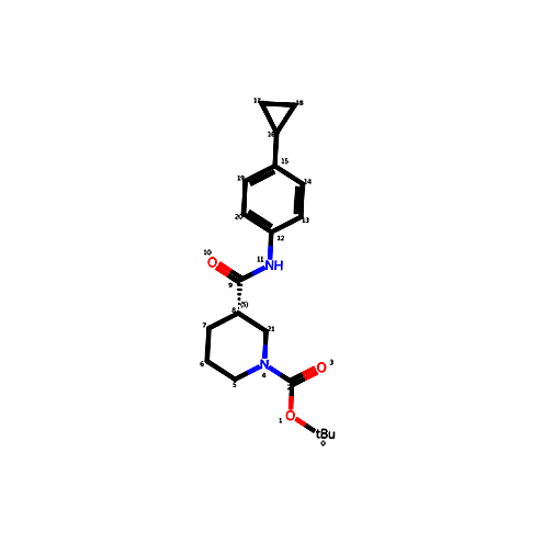 CC(C)(C)OC(=O)N1CCC[C@H](C(=O)Nc2ccc(C3CC3)cc2)C1